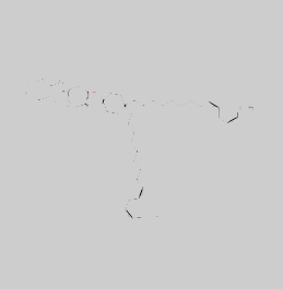 CCCCC/C=C\C/C=C\CCCCCCCCC1(CCCCCCCC/C=C\C/C=C\CCCCC)CCC2(CC1)O[C@H]1C[C@H](CCCO)[C@H](N(C)CCO)C[C@@H]1O2